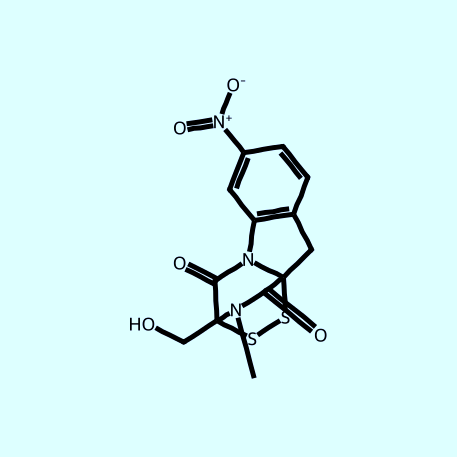 CN1C(=O)C23Cc4ccc([N+](=O)[O-])cc4N2C(=O)C1(CO)SS3